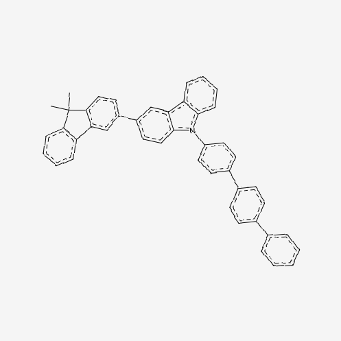 CC1(C)c2ccccc2-c2cc(-c3ccc4c(c3)c3ccccc3n4-c3ccc(-c4ccc(-c5ccccc5)cc4)cc3)ccc21